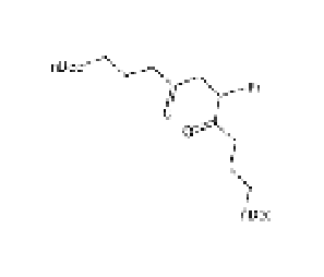 CCCCCCCCCCCCCC(=O)CC(C(=O)CCCCCCCCCCCCC)C(C)C